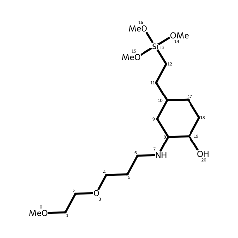 COCCOCCCNC1CC(CC[Si](OC)(OC)OC)CCC1O